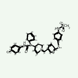 CS(=O)(=O)Nc1ccc(Sc2ccc(CN3CCC(N(C(=O)Nc4ccc(Cl)cc4)c4ccccc4)CC3)cn2)cc1